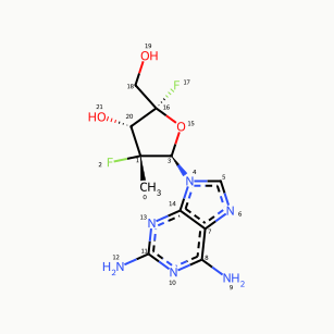 C[C@]1(F)[C@H](n2cnc3c(N)nc(N)nc32)O[C@](F)(CO)[C@H]1O